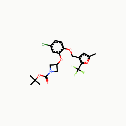 Cc1cc(COc2ccc(Cl)cc2OC2CN(C(=O)OC(C)(C)C)C2)c(C(F)(F)F)o1